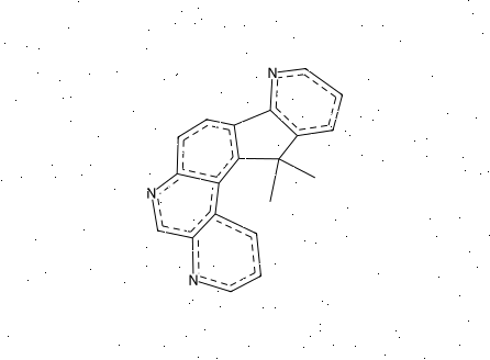 CC1(C)c2cccnc2-c2ccc3ncc4ncccc4c3c21